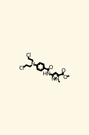 COC(=O)c1cc(NC(=O)c2ccc(N(CCCl)CCCl)cc2)nn1C